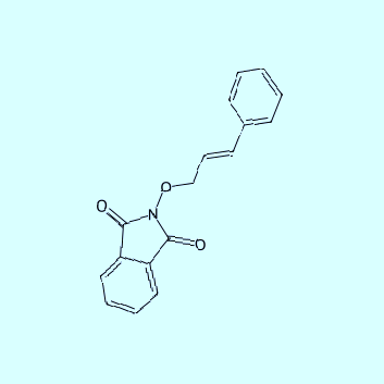 O=C1c2ccccc2C(=O)N1OCC=Cc1ccccc1